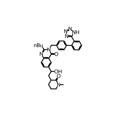 CCCCc1nc2ccc(C(O)CC3CCCN(C)C3=O)cc2c(=O)n1Cc1ccc(-c2ccccc2-c2nnn[nH]2)cc1